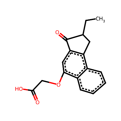 CCC1Cc2c(cc(OCC(=O)O)c3ccccc23)C1=O